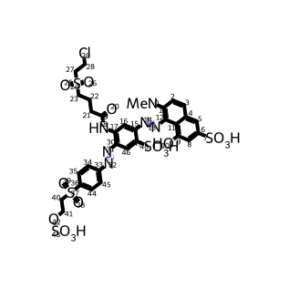 CNc1ccc2cc(S(=O)(=O)O)cc(O)c2c1/N=N/c1cc(NC(=O)CCCS(=O)(=O)CCCl)c(/N=N/c2ccc(S(=O)(=O)CCOS(=O)(=O)O)cc2)cc1S(=O)(=O)O